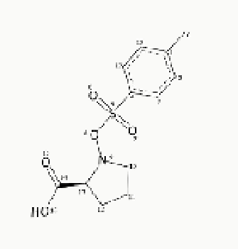 Cc1ccc(S(=O)(=O)ON2CCC[C@H]2C(=O)O)cc1